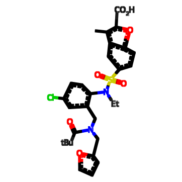 CCN(c1ccc(Cl)cc1CN(Cc1ccco1)C(=O)C(C)(C)C)S(=O)(=O)c1ccc2oc(C(=O)O)c(C)c2c1